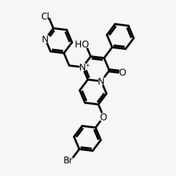 O=c1c(-c2ccccc2)c(O)[n+](Cc2ccc(Cl)nc2)c2ccc(Oc3ccc(Br)cc3)cn12